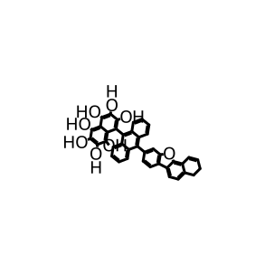 Oc1c(O)c(O)c2c(-c3c4ccccc4c(-c4ccc5c(c4)oc4c6c(ccc45)CCC=C6)c4ccccc34)c(O)c(O)c(O)c2c1O